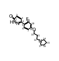 O=c1ccc(-c2ccc(OCCCN3CCCC3)cc2F)n[nH]1